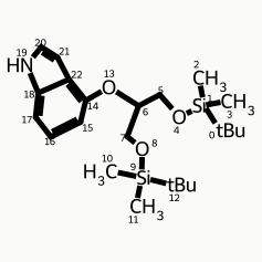 CC(C)(C)[Si](C)(C)OCC(CO[Si](C)(C)C(C)(C)C)Oc1cccc2[nH]ccc12